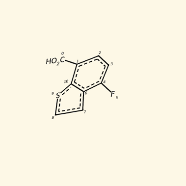 O=C(O)c1ccc(F)c2ccsc12